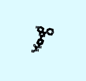 CCNC(=O)Nc1ccc(-c2nc3c(c(N4CCCOCC4)n2)CCNC3)cc1